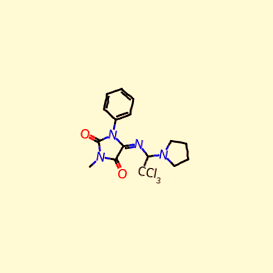 CN1C(=O)C(=NC(N2CCCC2)C(Cl)(Cl)Cl)N(c2ccccc2)C1=O